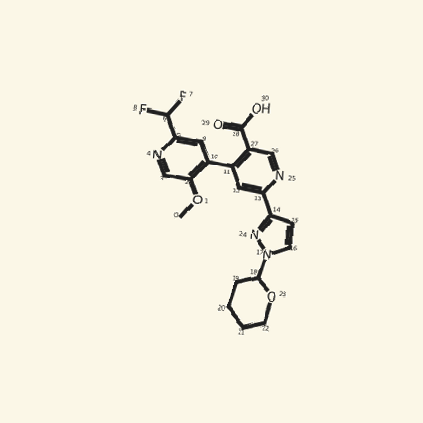 COc1cnc(C(F)F)cc1-c1cc(-c2ccn(C3CCCCO3)n2)ncc1C(=O)O